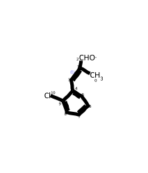 C/C([C]=O)=C\c1ccccc1Cl